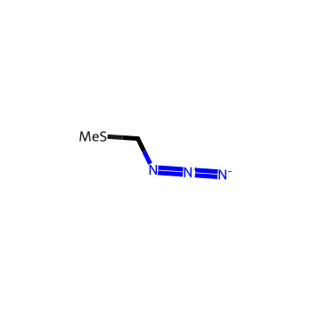 CSCN=[N+]=[N-]